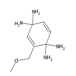 COCC1=CC(N)(N)C=CC1(N)N